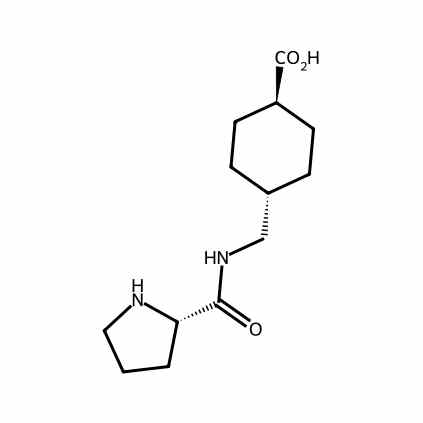 O=C(NC[C@H]1CC[C@H](C(=O)O)CC1)[C@@H]1CCCN1